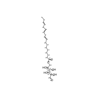 CCC=CCC=CCC=CCCCCCCCC(=O)OC[C@@H](O)[C@@H](O)[C@H](O)[C@@H](O)C=O